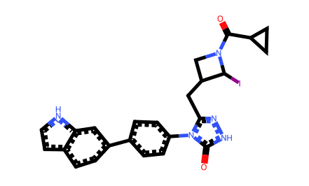 O=C(C1CC1)N1CC(Cc2n[nH]c(=O)n2-c2ccc(-c3ccc4cc[nH]c4c3)cc2)C1I